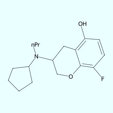 CCCN(C1CCCC1)C1COc2c(F)ccc(O)c2C1